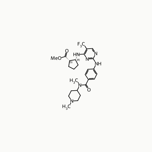 COC(=O)[C@H]1CCC[C@H]1Nc1nc(Nc2ccc(C(=O)N(C)C3CCN(C)CC3)cc2)ncc1C(F)(F)F